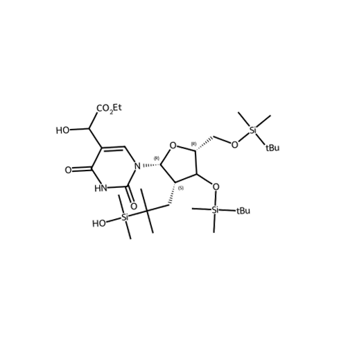 CCOC(=O)C(O)c1cn([C@@H]2O[C@H](CO[Si](C)(C)C(C)(C)C)C(O[Si](C)(C)C(C)(C)C)[C@@H]2CC(C)(C)[Si](C)(C)O)c(=O)[nH]c1=O